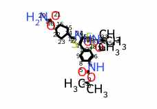 CC(C)OC(=O)Nc1ccc(-c2sc(C3CCC(OC(N)=O)CC3)nc2F)c(S(=O)(=O)NC(C)(C)C)c1